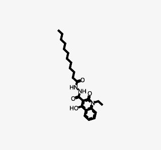 CCCCCCCCCCCC(=O)NNC(=O)c1c(O)c2ccccc2n(CC)c1=O